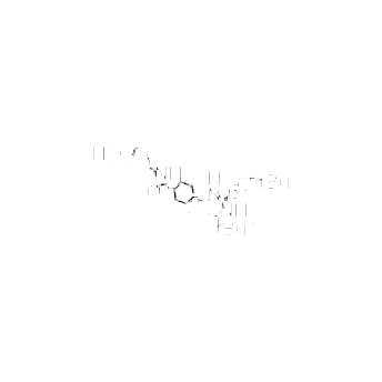 CC(C)(C)C=C=C=C(N)N[C@H](CCC(C)(C)C)c1ccc(C(=O)NCCC(=O)O)cc1